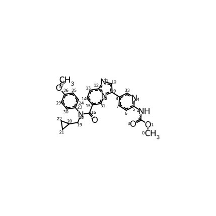 COC(=O)Nc1ccc(-c2cnc3ccc(C(=O)N(CC4CC4)c4ccc(OC)cc4)cn23)cn1